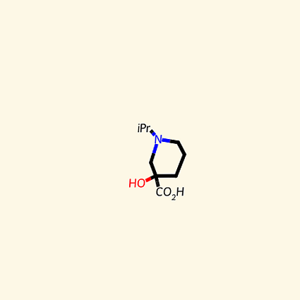 CC(C)N1CCCC(O)(C(=O)O)C1